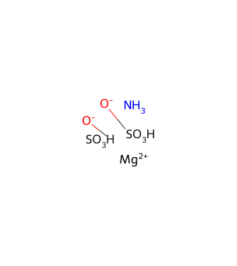 N.O=S(=O)([O-])O.O=S(=O)([O-])O.[Mg+2]